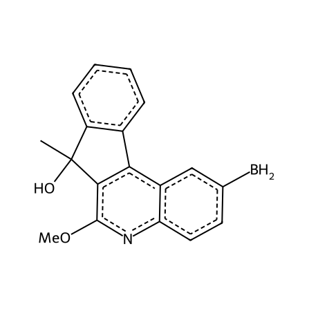 Bc1ccc2nc(OC)c3c(c2c1)-c1ccccc1C3(C)O